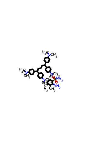 CN(C)c1ccc(C(=CCC=C(c2ccc(N(C)C)cc2)c2ccc(N(C)C)cc2)c2ccc(N(C)C)cc2)cc1.Cc1ccc(S(N)(=O)=O)c(N)c1C